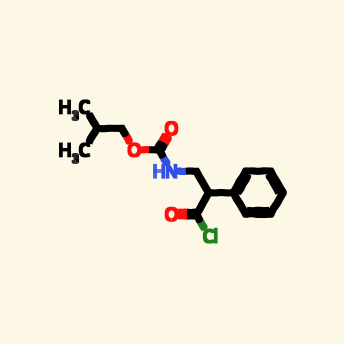 CC(C)COC(=O)NCC(C(=O)Cl)c1ccccc1